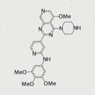 COc1cc(Nc2cc(-c3nc(N4CCNCC4)c4c(OC)cncc4n3)ccn2)cc(OC)c1OC